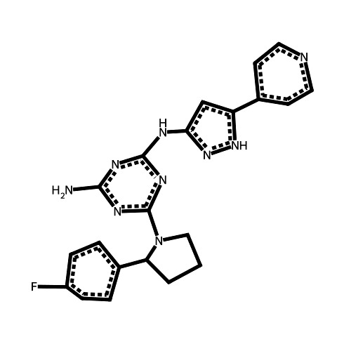 Nc1nc(Nc2cc(-c3ccncc3)[nH]n2)nc(N2CCCC2c2ccc(F)cc2)n1